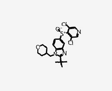 CC(C)(C)c1nc2cc([S+]([O-])c3c(Cl)cncc3Cl)ccc2n1CC1CCOCC1